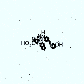 O=C(O)c1cn(-c2ccc3c(c2)CCC3)c2nc(Nc3ccc(CCN4CCC[C@@H](O)C4)cc3)ncc2c1=O